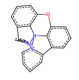 c1cc2c3c(c1)-c1cccc[n+]1[N+]31c3c(cccc3-c3cccc[n+]31)O2